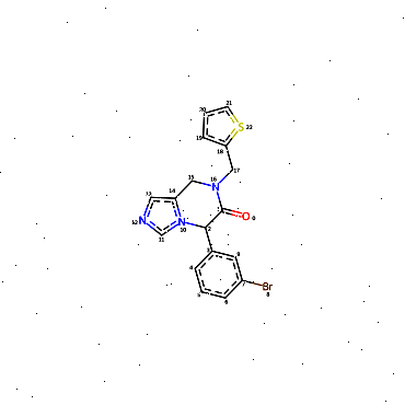 O=C1C(c2cccc(Br)c2)n2cncc2CN1Cc1cccs1